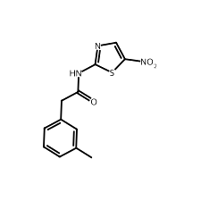 Cc1cccc(CC(=O)Nc2ncc([N+](=O)[O-])s2)c1